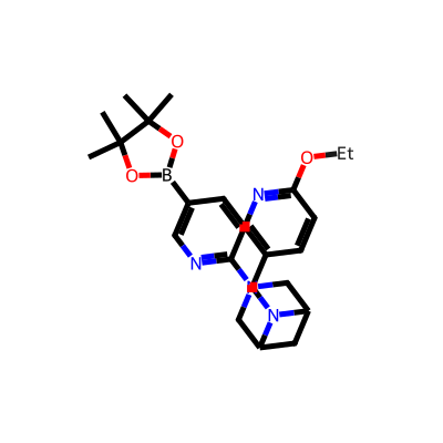 CCOc1ccc(CN2C3CC2CN(c2ccc(B4OC(C)(C)C(C)(C)O4)cn2)C3)cn1